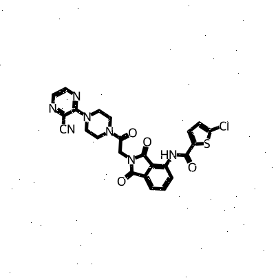 N#Cc1nccnc1N1CCN(C(=O)CN2C(=O)c3cccc(NC(=O)c4ccc(Cl)s4)c3C2=O)CC1